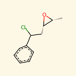 C[C@H]1O[C@H]1CC(Cl)c1ccccc1